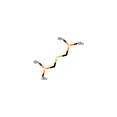 CC(C)(C)P(CSCP(C(C)(C)C)C(C)(C)C)C(C)(C)C